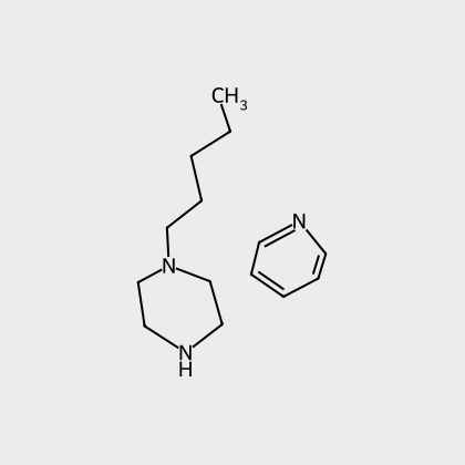 CCCCCN1CCNCC1.c1ccncc1